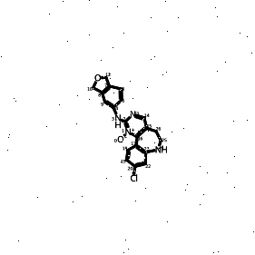 [O-][n+]1c(Nc2ccc3c(c2)COC3)ncc2c1-c1ccc(Cl)cc1NCC2